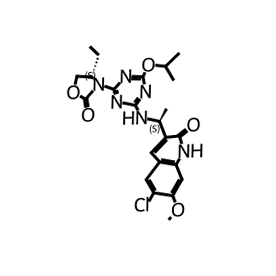 CC[C@H]1COC(=O)N1c1nc(N[C@@H](C)c2cc3cc(Cl)c(OC)cc3[nH]c2=O)nc(OC(C)C)n1